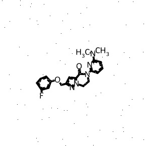 CN(C)c1cccc(N2CCn3nc(COc4cccc(F)c4)cc3C2=O)n1